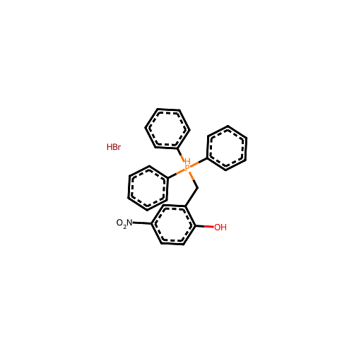 Br.O=[N+]([O-])c1ccc(O)c(C[PH](c2ccccc2)(c2ccccc2)c2ccccc2)c1